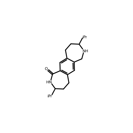 CC(C)C1CCc2cc3c(cc2CN1)CCC(C(C)C)NC3=O